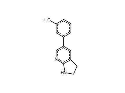 Cc1cccc(-c2cnc3c(c2)CCN3)c1